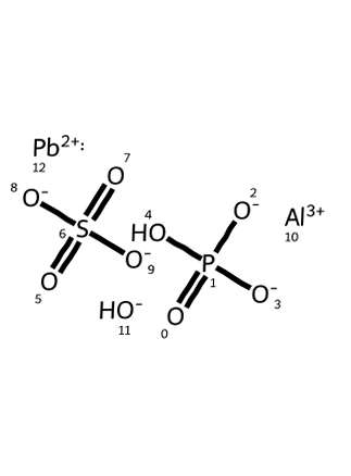 O=P([O-])([O-])O.O=S(=O)([O-])[O-].[Al+3].[OH-].[Pb+2]